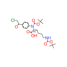 CC(C)(C)OC(=O)NCCCC[C@@H](C(=O)O)N(C(=O)OC(C)(C)C)c1ccc(C(=O)CCl)cc1